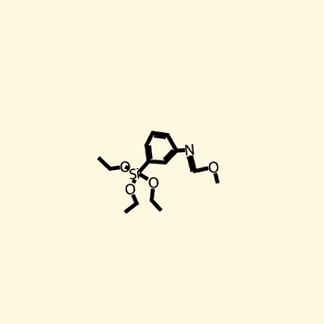 CCO[Si](OCC)(OCC)c1cccc(N=COC)c1